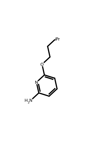 CC(C)CCOc1cccc(N)n1